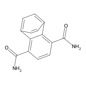 NC(=O)c1ccc(C(N)=O)c2c3ccc(cc3)c12